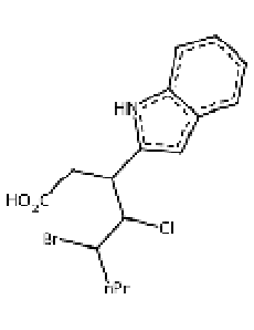 CCCC(Br)C(Cl)C(CC(=O)O)c1cc2ccccc2[nH]1